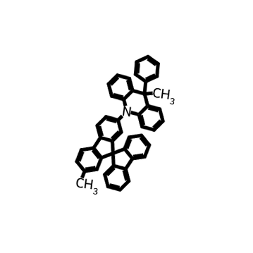 Cc1ccc2c(c1)C1(c3ccccc3-c3ccccc31)c1cc(N3c4ccccc4C(C)(c4ccccc4)c4ccccc43)ccc1-2